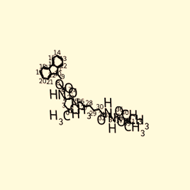 CC(C)C[C@@H](NC(=O)OCC1c2ccccc2-c2ccccc21)C(=O)NCCCCCC(=O)NNC(=O)OC(C)(C)C